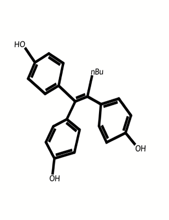 CCCCC(=C(c1ccc(O)cc1)c1ccc(O)cc1)c1ccc(O)cc1